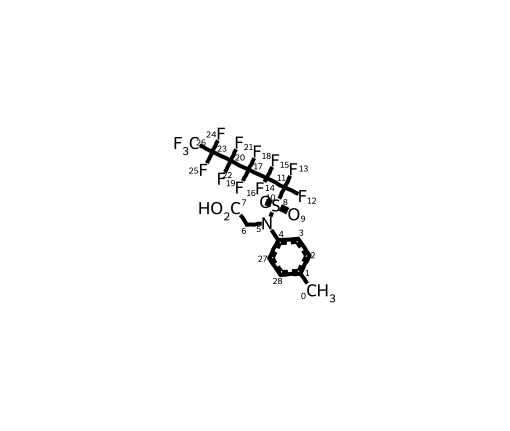 Cc1ccc(N(CC(=O)O)S(=O)(=O)C(F)(F)C(F)(F)C(F)(F)C(F)(F)C(F)(F)C(F)(F)F)cc1